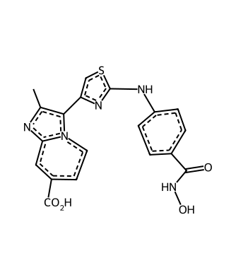 Cc1nc2cc(C(=O)O)ccn2c1-c1csc(Nc2ccc(C(=O)NO)cc2)n1